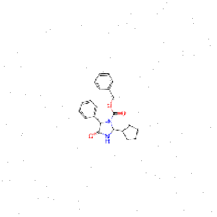 O=C1NC(C2CCCC2)N(C(=O)OCc2ccccc2)C1c1ccccc1